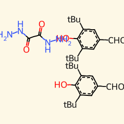 CC(C)(C)c1cc(C=O)cc(C(C)(C)C)c1O.CC(C)(C)c1cc(C=O)cc(C(C)(C)C)c1O.NNC(=O)C(=O)NN